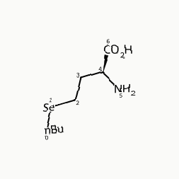 CCCC[Se]CC[C@H](N)C(=O)O